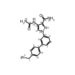 CC(C)Cc1ccc(-c2cccc(-n3cc(NC(N)=O)c(C(N)=O)n3)c2)cc1